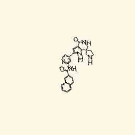 O=C(Nc1cc(-c2cc3c([nH]2)C2(CCNC2)CNC3=O)ccn1)c1ccc2ccccc2c1